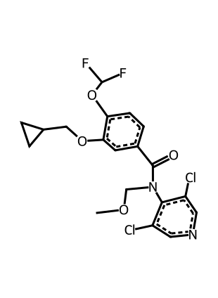 COCN(C(=O)c1ccc(OC(F)F)c(OCC2CC2)c1)c1c(Cl)cncc1Cl